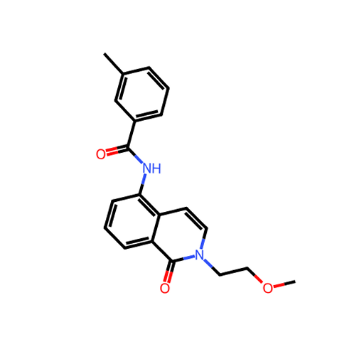 COCCn1ccc2c(NC(=O)c3cccc(C)c3)cccc2c1=O